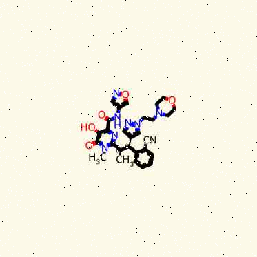 C[C@@H](c1nc(C(=O)Nc2cnoc2)c(O)c(=O)n1C)[C@@H](c1cnn(CCN2CCOCC2)c1)c1ccccc1C#N